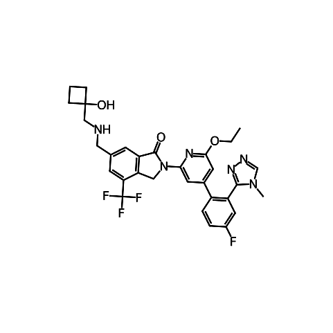 CCOc1cc(-c2ccc(F)cc2-c2nncn2C)cc(N2Cc3c(cc(CNCC4(O)CCC4)cc3C(F)(F)F)C2=O)n1